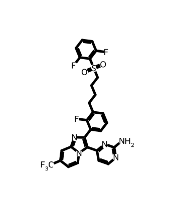 Nc1nccc(-c2c(-c3cccc(CCCCS(=O)(=O)c4c(F)cccc4F)c3F)nc3cc(C(F)(F)F)ccn23)n1